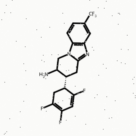 NC1Cn2c(nc3cc(C(F)(F)F)ccc32)C[C@@H]1C1CC(F)=C(F)C=C1F